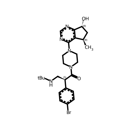 C[C@@H]1C[C@@H](O)c2ncnc(N3CCN(C(=O)[C@H](CNC(C)(C)C)c4ccc(Br)cc4)CC3)c21